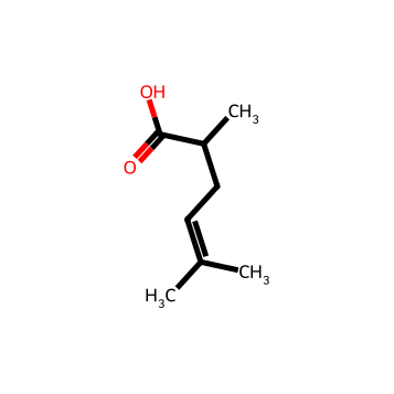 CC(C)=CCC(C)C(=O)O